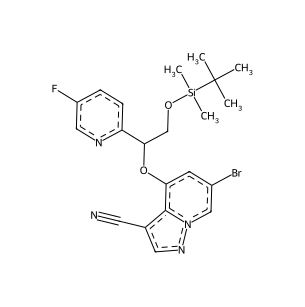 CC(C)(C)[Si](C)(C)OCC(Oc1cc(Br)cn2ncc(C#N)c12)c1ccc(F)cn1